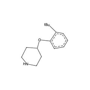 CC(C)(C)c1ccccc1OC1CCNCC1